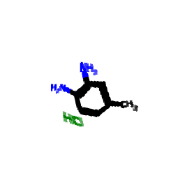 Cc1ccc(N)c(N)c1.Cl